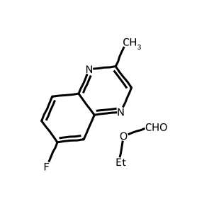 CCOC=O.Cc1cnc2cc(F)ccc2n1